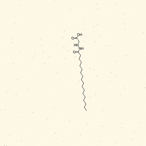 CCCCCCCCCCCCCCCCCC(=O)NNCC(=O)O